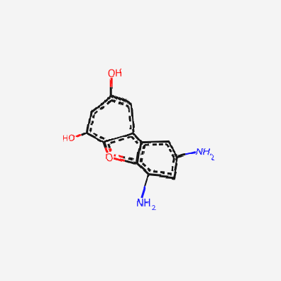 Nc1cc(N)c2oc3c(O)cc(O)cc3c2c1